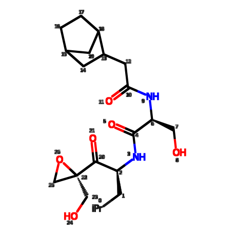 CC(C)C[C@H](NC(=O)[C@H](CO)NC(=O)CC1CC2CCC1C2)C(=O)[C@@]1(CO)CO1